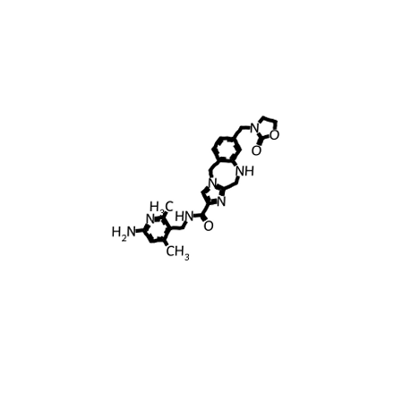 Cc1cc(N)nc(C)c1CNC(=O)c1cn2c(n1)CNc1cc(CN3CCOC3=O)ccc1C2